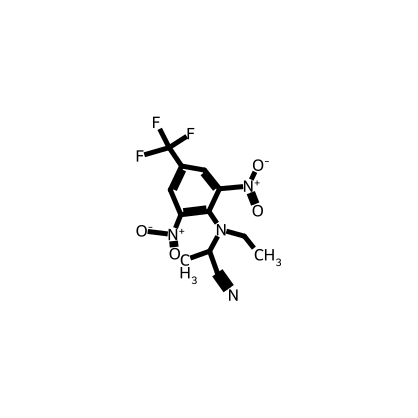 CCN(c1c([N+](=O)[O-])cc(C(F)(F)F)cc1[N+](=O)[O-])C(C)C#N